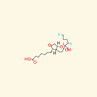 C[C@@H](CCF)C(F)C(I)(I)[C@@]1(O)CC[C@H]2[C@@H](CC(=O)[C@@H]2CCCCCCC(=O)O)O1